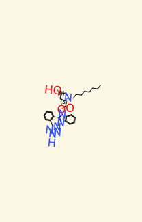 CCCCCCCCN1C[C@H](O)C[C@H]1C(=O)On1c(-c2ccccc2-c2nn[nH]n2)nc2ccccc21